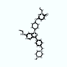 CCNc1cc2c(cn1)c(-c1ccc(CN3CCN(C)CC3)cc1)nn2C1CCC(Oc2ccc(=O)n(CC)n2)CC1